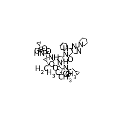 C=C[C@H]1C[C@]1(NC(=O)[C@@H]1C[C@@H](NC(=O)c2cnc(N3CCCCC3)nc2-c2ccccc2)CN1C(=O)[C@@H](NC(=O)CC1CC1)C(C)(C)C)C(=O)NS(=O)(=O)C1CC1